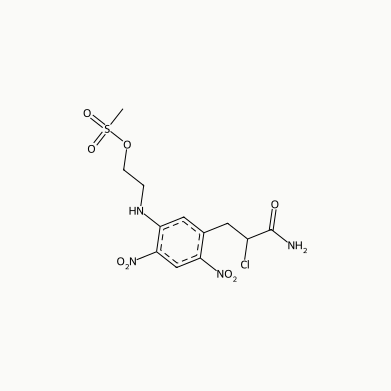 CS(=O)(=O)OCCNc1cc(CC(Cl)C(N)=O)c([N+](=O)[O-])cc1[N+](=O)[O-]